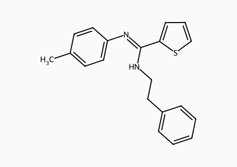 Cc1ccc(/N=C(\NCCc2ccccc2)c2cccs2)cc1